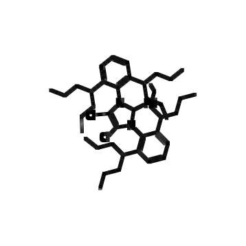 CCCC(CCC)c1cccc(C(CCC)CCC)c1N1C(Cl)=C(Cl)N(c2c(C(CCC)CCC)cccc2C(CCC)CCC)[CH]1[Pd]